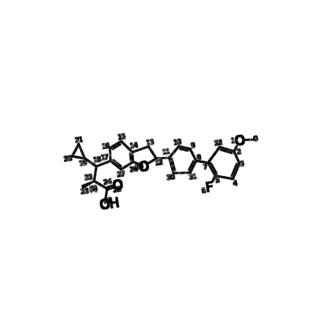 COc1ccc(F)c(-c2ccc(C3Cc4ccc(C(C5CC5)[C@H](C)C(=O)O)cc4O3)cc2)c1